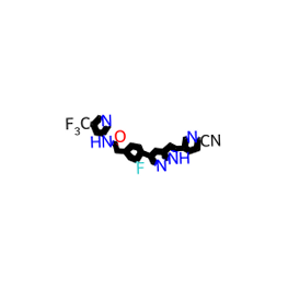 N#Cc1ccc(-c2cc3cc(-c4ccc(CC(=O)Nc5cncc(C(F)(F)F)c5)cc4F)cnc3[nH]2)cn1